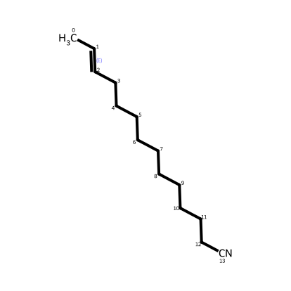 C/C=C/CCCCCCCCCCC#N